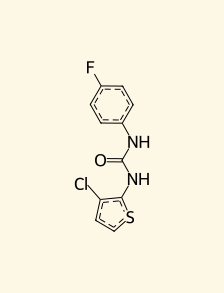 O=C(Nc1ccc(F)cc1)Nc1sccc1Cl